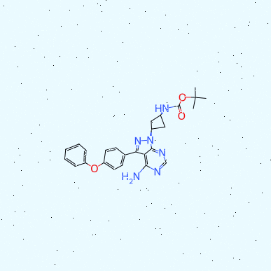 CC(C)(C)OC(=O)N[C@H]1C[C@@H](n2nc(-c3ccc(Oc4ccccc4)cc3)c3c(N)ncnc32)C1